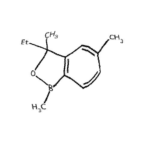 CCC1(C)OB(C)c2ccc(C)cc21